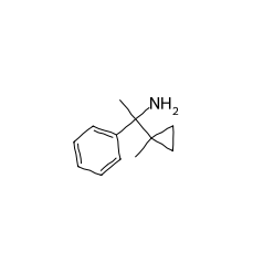 CC1(C(C)(N)c2ccccc2)CC1